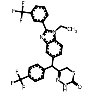 CCn1c(-c2cccc(C(F)(F)F)c2)nc2cc(C(C3=NNC(=O)SC3)c3ccc(C(F)(F)F)cc3)ccc21